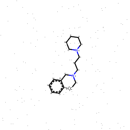 CCN(CCCN1CC[CH]CC1)Cc1ccccc1